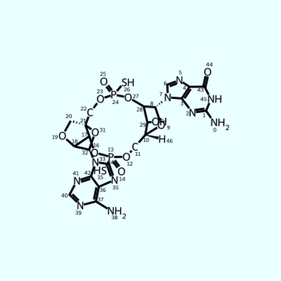 Nc1nc2c(ncn2[C@@H]2O[C@@H]3COP(=O)(S)OC4C5OC[C@]4(COP(=O)(S)OC2C3O)O[C@H]5n2cnc3c(N)ncnc32)c(=O)[nH]1